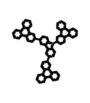 c1ccc2c(c1)c1ccccc1c1cc(-c3ccc4c(c3)c3cc(-c5ccc6c7ccccc7c7ccccc7c6c5)ccc3n4-c3ccc4c5ccccc5c5ccccc5c4c3)ccc21